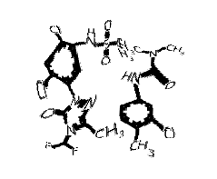 Cc1ccc(NC(=O)N(C)C)cc1Cl.Cc1nn(-c2cc(NS(C)(=O)=O)c(Cl)cc2Cl)c(=O)n1C(F)F